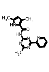 Cc1nc(NC(=O)c2[nH]c(C)cc2C)nc(-c2ccccn2)n1